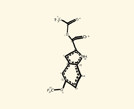 O=C(OC(=O)C(F)(F)F)c1cc2cc(OC(F)(F)F)ccc2[nH]1